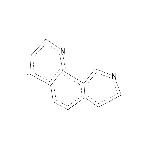 [c]1ccnc2c1ccc1ccncc12